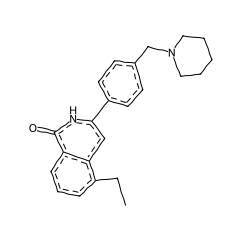 CCc1cccc2c(=O)[nH]c(-c3ccc(CN4CCCCC4)cc3)cc12